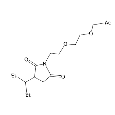 CCC(CC)C1CC(=O)N(CCOCCOCC(C)=O)C1=O